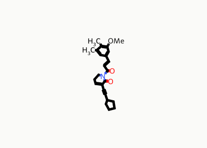 COc1cc(/C=C/C(=O)N2CCC=C(C#CC3CCCC3)C2=O)cc(C)c1C